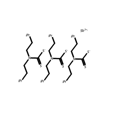 CC(C)CCN(CCC(C)C)C(=S)[S-].CC(C)CCN(CCC(C)C)C(=S)[S-].CC(C)CCN(CCC(C)C)C(=S)[S-].[Sb+3]